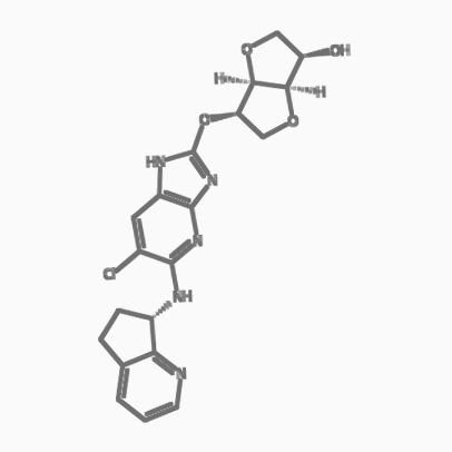 O[C@@H]1CO[C@H]2[C@@H]1OC[C@H]2Oc1nc2nc(N[C@H]3CCc4cccnc43)c(Cl)cc2[nH]1